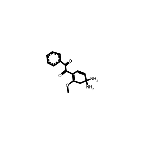 COC1=C(C(=O)C(=O)c2ccccc2)C=CC(N)(N)C1